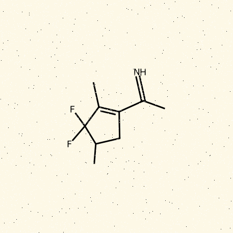 CC(=N)C1=C(C)C(F)(F)C(C)C1